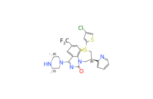 C[C@@H]1CN(c2nc(=O)n3c4c(cc(C(F)(F)F)cc24)[SH](c2cc(Cl)cs2)C[C@@H](c2ccccn2)C3)C[C@H](C)N1